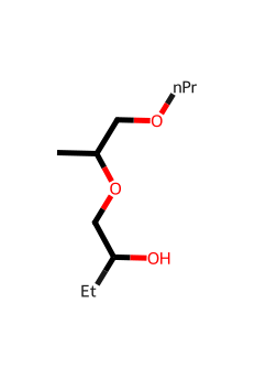 CCCOCC(C)OCC(O)CC